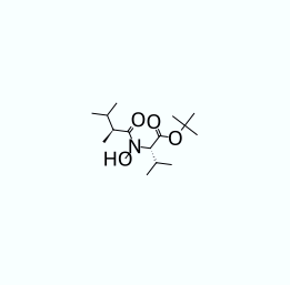 CC(C)[C@H](C)C(=O)N(O)[C@H](C(=O)OC(C)(C)C)C(C)C